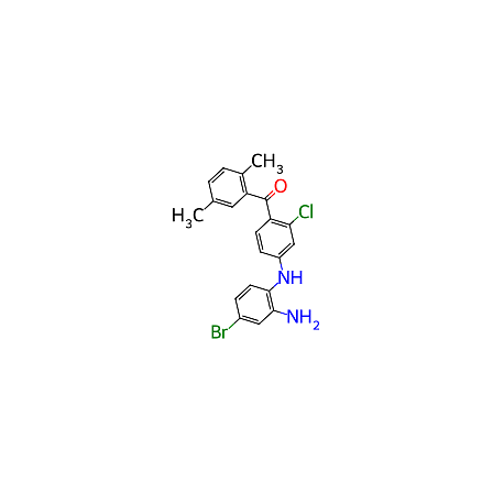 Cc1ccc(C)c(C(=O)c2ccc(Nc3ccc(Br)cc3N)cc2Cl)c1